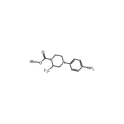 CC(C)(C)OC(=O)N1CCN(c2ccc(N)cc2)CC1C(F)(F)F